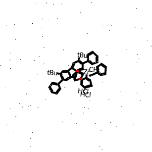 Cl.Cl.[CH2]=[Zr]([CH2]c1ccccc1)([C]1=CC=CC1)([c]1ccccc1)[c]1c2c(cc(C(C)(C)C)c1-c1ccccc1)-c1cc(C(C)(C)C)c(-c3ccccc3)cc1C2